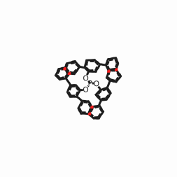 c1ccc(-c2ccc(-c3ccccc3)c(OP(Oc3cc(-c4ccccc4)ccc3-c3ccccc3)Oc3cc(-c4ccccc4)ccc3-c3ccccc3)c2)cc1